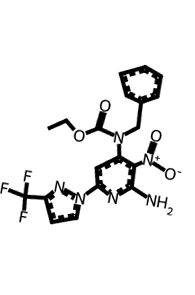 CCOC(=O)N(Cc1ccccc1)c1cc(-n2ccc(C(F)(F)F)n2)nc(N)c1[N+](=O)[O-]